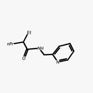 CCCC(CC)C(=O)NCc1ccccn1